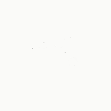 COc1ccc(-c2cc(NC(=O)c3ccc(Br)o3)c(C(=O)O)s2)cc1